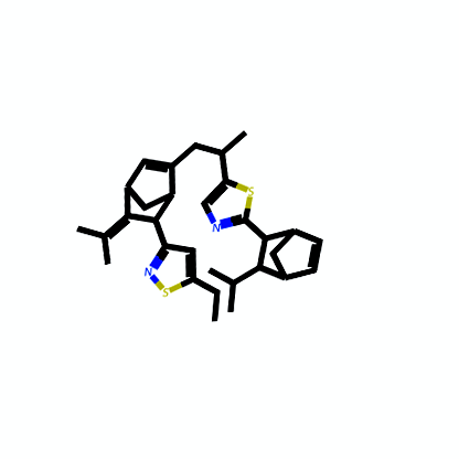 CCc1cc(C2C(=C(C)C)C3C=C(CC(C)c4cnc(C5C6C=CC(C6)C5C(C)C)s4)C2C3)ns1